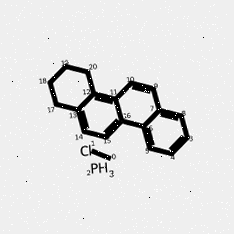 CCl.P.c1ccc2c(c1)ccc1c3c(ccc12)CCCC3